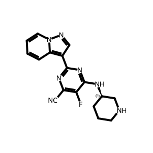 N#Cc1nc(-c2cnn3ccccc23)nc(N[C@@H]2CCCNC2)c1F